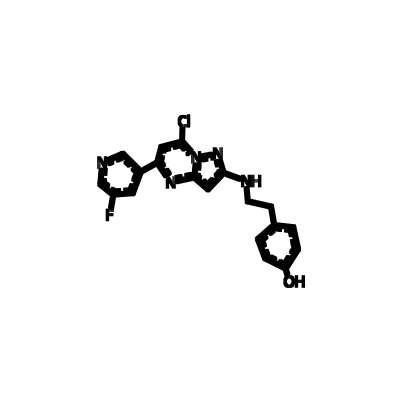 Oc1ccc(CCNc2cc3nc(-c4cncc(F)c4)cc(Cl)n3n2)cc1